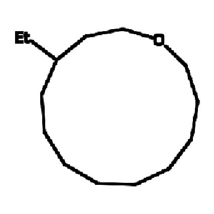 CCC1CCCCCCCCCOCC1